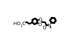 CN(C(=O)CC1Oc2ccc(CCC(=O)O)cc2O1)c1ccccc1